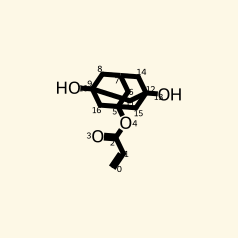 C=CC(=O)OC12CC3CC(O)(CC(O)(C3)C1)C2